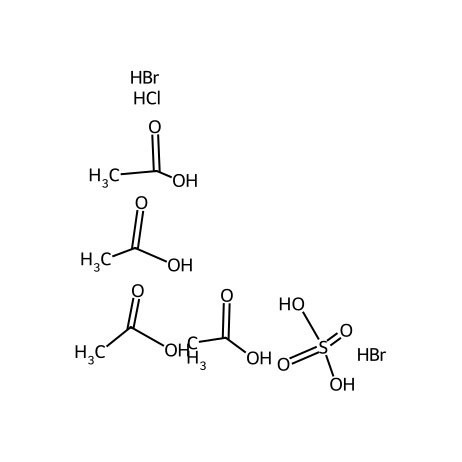 Br.Br.CC(=O)O.CC(=O)O.CC(=O)O.CC(=O)O.Cl.O=S(=O)(O)O